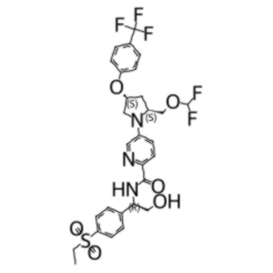 CCS(=O)(=O)c1ccc([C@H](CO)NC(=O)c2ccc(N3C[C@@H](Oc4ccc(C(F)(F)F)cc4)C[C@H]3COC(F)F)cn2)cc1